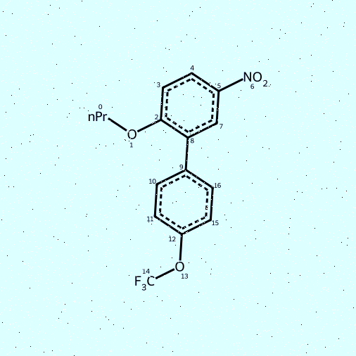 CCCOc1ccc([N+](=O)[O-])cc1-c1ccc(OC(F)(F)F)cc1